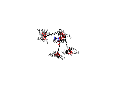 CCCCCCCCO[Si](CCCCCCCCCC[Si](C)(C)O[Si](CCNC(=O)C(C)CC)(O[Si](C)(C)CCCCCCCCCC[Si](OCCCCCCCC)(O[Si](C)(C)C)O[Si](C)(C)C)O[Si](C)(C)CCCCCCCCCC[Si](OCCCCCCCC)(O[Si](C)(C)C)O[Si](C)(C)C)(O[Si](C)(C)C)O[Si](C)(C)C